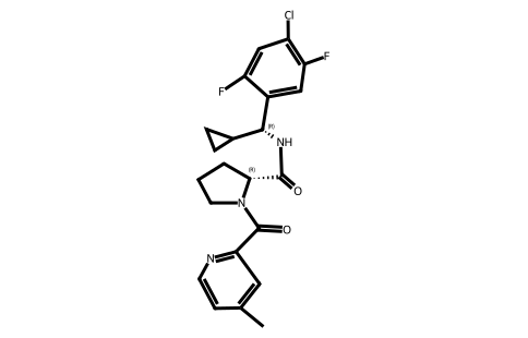 Cc1ccnc(C(=O)N2CCC[C@@H]2C(=O)N[C@@H](c2cc(F)c(Cl)cc2F)C2CC2)c1